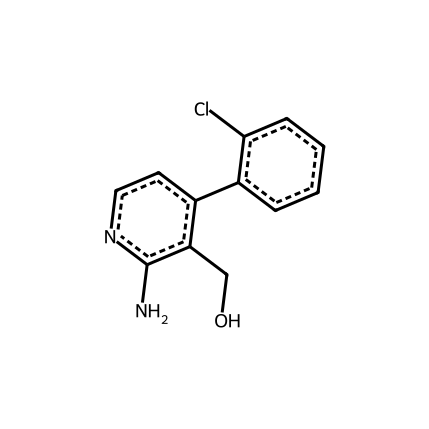 Nc1nccc(-c2ccccc2Cl)c1CO